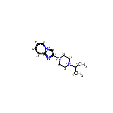 CC(C)N1CCN(c2cn3ccccc3n2)CC1